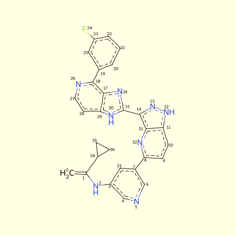 C=C(Nc1cncc(-c2ccc3[nH]nc(-c4nc5c(-c6cccc(F)c6)nccc5[nH]4)c3n2)c1)C1CC1